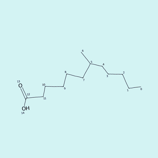 CCCCCC(C)CCCCCC(=O)O